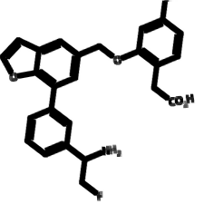 N#Cc1ccc(CC(=O)O)c(OCc2cc(-c3cccc(C(N)CF)c3)c3occc3c2)c1